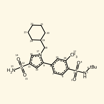 CC(C)(C)NS(=O)(=O)c1ccc(-c2cc(S(N)(=O)=O)cn2CC2CCCCC2)cc1C(F)(F)F